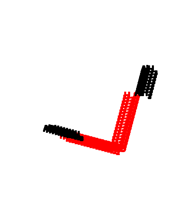 O.O.O.O.O.O.O.O.O.O.O.O.O.O.O.O.O.O.O.O.O.O.O.O.O.O.O.O.O.O.O.O.O.O.O.O.[AlH3].[AlH3].[AlH3].[AlH3].[AlH3].[AlH3].[AlH3].[AlH3].[AlH3].[AlH3].[AlH3].[AlH3].[AlH3].[AlH3].[AlH3].[AlH3].[AlH3].[AlH3]